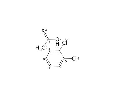 CC(O)=S.Clc1ccccc1Cl